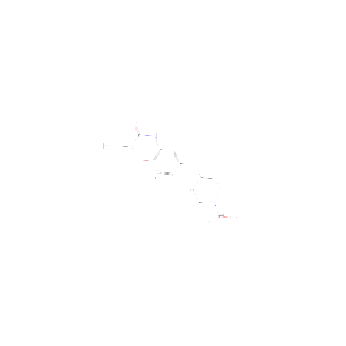 CC1Oc2ccc(OC3CCN(C(=O)O)CC3)cc2NC1=O